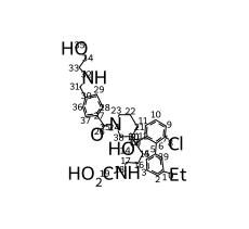 CCc1cccc(-c2c(Cl)cccc2[C@](O)(CCCNC(=O)O)[C@@H]2CCCN(C(=O)c3ccc(CNCCO)cc3)C2)c1